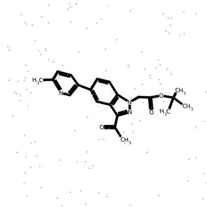 CC(=O)c1nn(CC(=O)OC(C)(C)C)c2ccc(-c3ccc(C)nc3)cc12